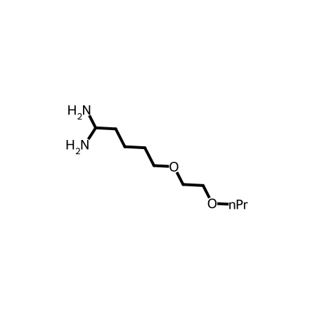 CCCOCCOCCCCC(N)N